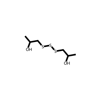 CC(O)CSSSCC(C)O